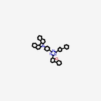 c1ccc(-c2ccc(-c3nc(-c4ccc(-n5c6ccc7ccccc7c6c6c7ccccc7ccc65)cc4)nc(-c4cccc5c4oc4ccccc45)n3)cc2)cc1